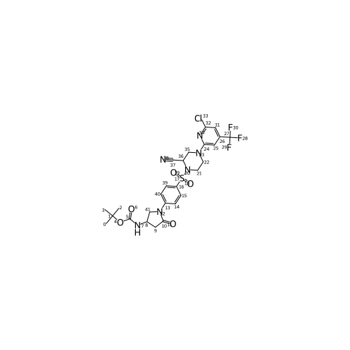 CC(C)(C)OC(=O)NC1CC(=O)N(c2ccc(S(=O)(=O)N3CCN(c4cc(C(F)(F)F)cc(Cl)n4)CC3C#N)cc2)C1